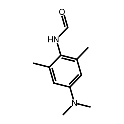 Cc1cc(N(C)C)cc(C)c1NC=O